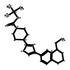 CCC1CCCc2ccc(-c3csc(C4CCN(C(=O)OC(C)(C)C)CC4)n3)cc21